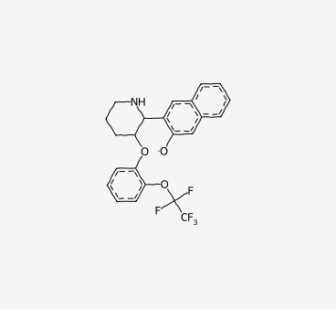 [O]c1cc2ccccc2cc1C1NCCCC1Oc1ccccc1OC(F)(F)C(F)(F)F